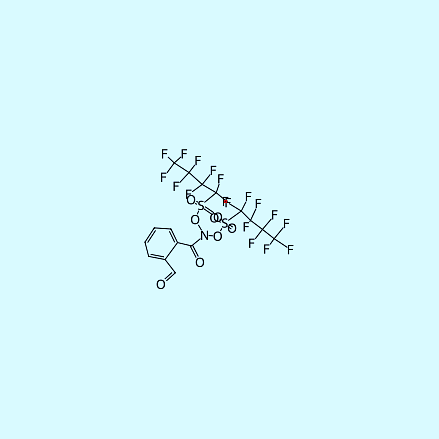 O=Cc1ccccc1C(=O)N(OS(=O)(=O)C(F)(F)C(F)(F)C(F)(F)C(F)(F)F)OS(=O)(=O)C(F)(F)C(F)(F)C(F)(F)C(F)(F)F